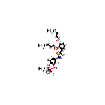 CCCCOc1cccc(-c2cnc(-c3ccc4c(c3)COC(C)(C)O4)o2)c1OCCCC